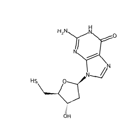 Nc1nc2c(ncn2[C@H]2C[C@H](O)[C@@H](CS)O2)c(=O)[nH]1